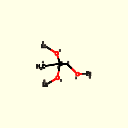 CCOC[Si](C)(OCC)OCC